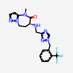 CN1C(=O)[C@@H](NCc2ncn(Cc3ccccc3C(F)(F)F)n2)CCn2nccc21